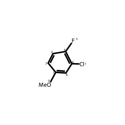 [CH2]Oc1ccc(F)c(Cl)c1